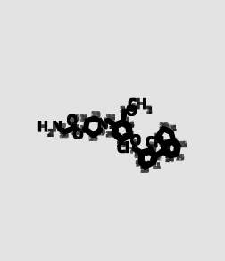 COCc1cc(OCc2cccc(-c3cccc4c3CCC4)c2C)c(Cl)cc1CN1CCC(OC(=O)CN)CC1